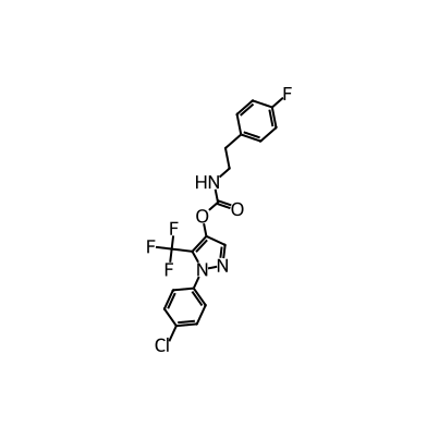 O=C(NCCc1ccc(F)cc1)Oc1cnn(-c2ccc(Cl)cc2)c1C(F)(F)F